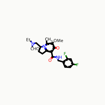 CCN(C=O)CC1CCc2c(C(=O)NCc3ccc(F)cc3F)c(=O)c(OC)c(C)n21